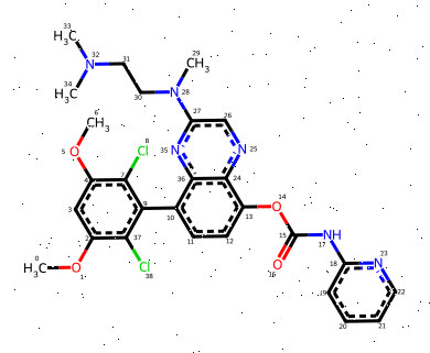 COc1cc(OC)c(Cl)c(-c2ccc(OC(=O)Nc3ccccn3)c3ncc(N(C)CCN(C)C)nc23)c1Cl